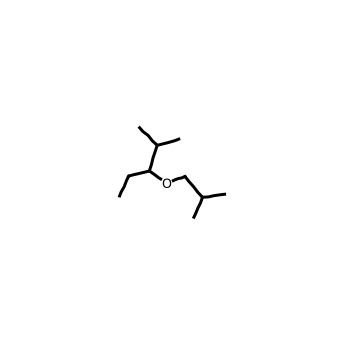 CCC(OCC(C)C)C(C)C